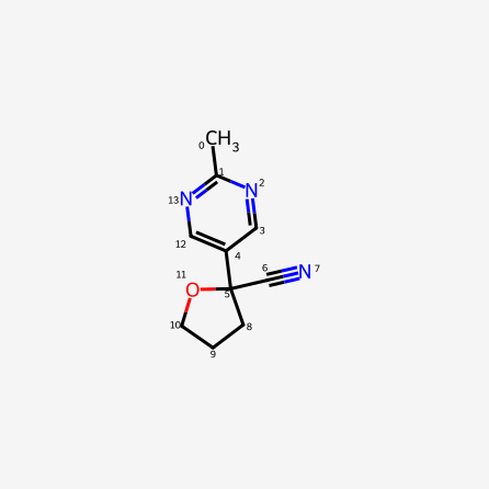 Cc1ncc(C2(C#N)CCCO2)cn1